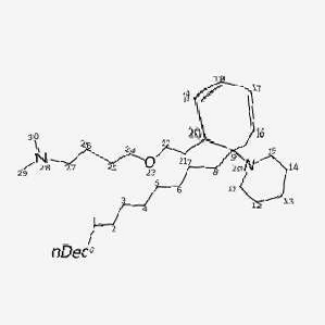 CCCCCCCCCCCCCCCCCCC1(N2CCCCC2)C=CC=CC1CCOCCCCN(C)C